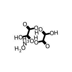 N.O.O=C(O)C(=O)O.O=C(O)C(=O)O